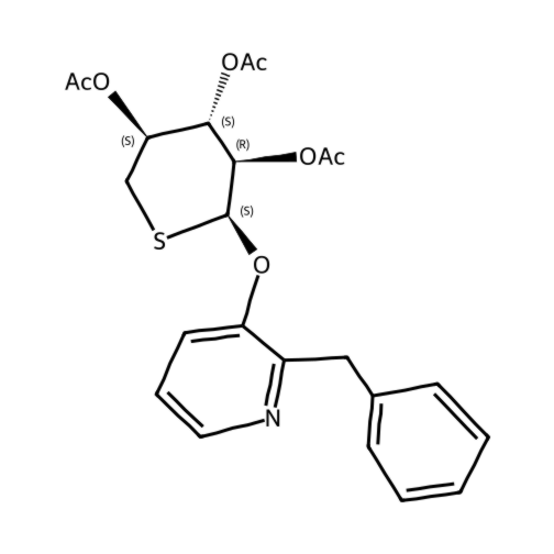 CC(=O)O[C@@H]1[C@@H](OC(C)=O)[C@@H](Oc2cccnc2Cc2ccccc2)SC[C@H]1OC(C)=O